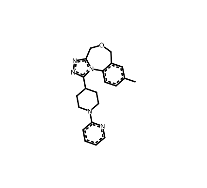 Cc1ccc2c(c1)COCc1nnc(C3CCN(c4ccccn4)CC3)n1-2